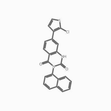 O=c1[nH]c2cc(-c3ccsc3Cl)ccc2c(=O)n1-c1cccc2ccccc12